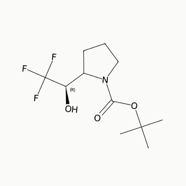 CC(C)(C)OC(=O)N1CCCC1[C@@H](O)C(F)(F)F